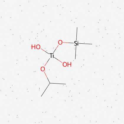 CC(C)[O][Ti]([OH])([OH])[O][Si](C)(C)C